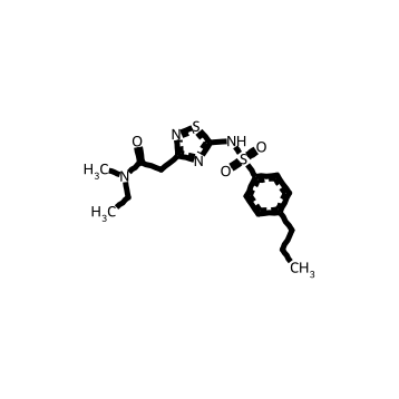 CCCc1ccc(S(=O)(=O)Nc2nc(CC(=O)N(C)CC)ns2)cc1